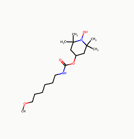 CC1(C)CC(OC(=O)NCCCCCCOC#N)CC(C)(C)N1O